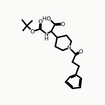 CC(C)(C)OC(=O)NC(C(=O)O)C1CCN(C(=O)CCc2ccccc2)CC1